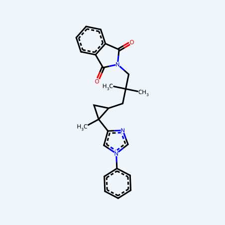 CC(C)(CC1CC1(C)c1cn(-c2ccccc2)cn1)CN1C(=O)c2ccccc2C1=O